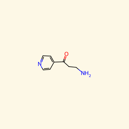 NCCC(=O)c1ccncc1